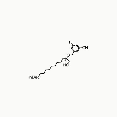 CCCCCCCCCCCCCCCCCCC[C@H](CO)OCc1cc(F)cc(C#N)c1